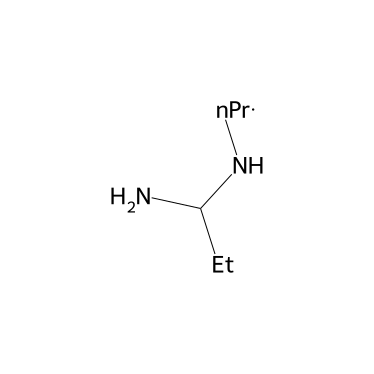 CC[CH]NC(N)CC